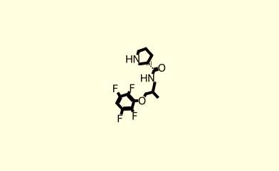 CC(CNC(=O)[C@H]1CCCNC1)COc1c(F)c(F)cc(F)c1F